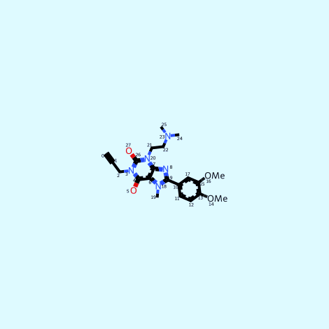 C#CCn1c(=O)c2c(nc(-c3ccc(OC)c(OC)c3)n2C)n(CCN(C)C)c1=O